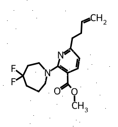 C=CCCc1ccc(C(=O)OC)c(N2CCCC(F)(F)CC2)n1